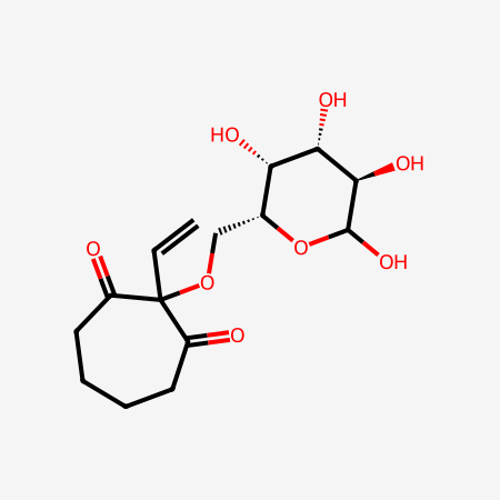 C=CC1(OC[C@H]2OC(O)[C@H](O)[C@@H](O)[C@H]2O)C(=O)CCCCC1=O